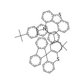 CC(C)(C)c1ccc(N(c2ccc(C(C)(C)C)cc2)c2cccc3sc4cccc(C(C5=CC6=C(CC5)Sc5ccccc5C65c6ccccc6-c6ccccc65)c5ccccc5)c4c23)cc1